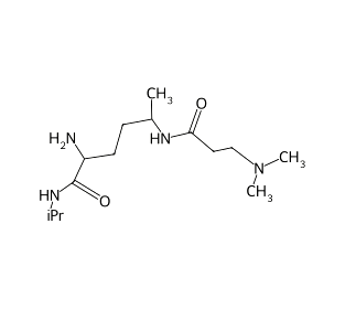 CC(C)NC(=O)C(N)CCC(C)NC(=O)CCN(C)C